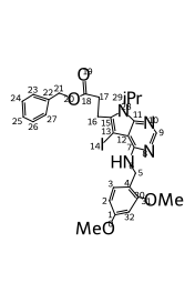 COc1ccc(CNc2ncnc3c2c(I)c(CCC(=O)OCc2ccccc2)n3C(C)C)c(OC)c1